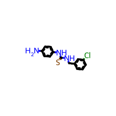 Nc1ccc(NC(=S)NCc2cccc(Cl)c2)cc1